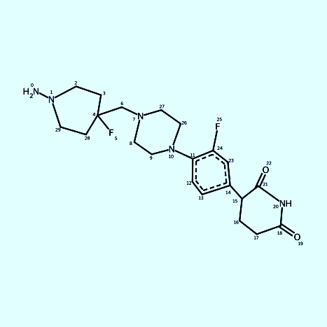 NN1CCC(F)(CN2CCN(c3ccc(C4CCC(=O)NC4=O)cc3F)CC2)CC1